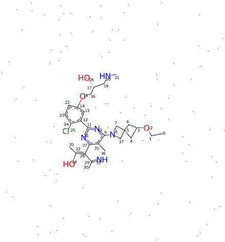 CCOC1CC2(C1)CN(c1nc(-c3cc(OC[C@H](O)CNC)ccc3Cl)nc(/C(C(C)=N)=C(\C)O)c1C)C2